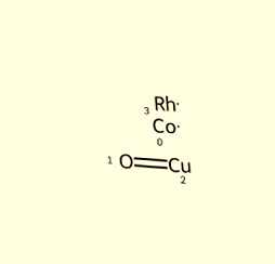 [Co].[O]=[Cu].[Rh]